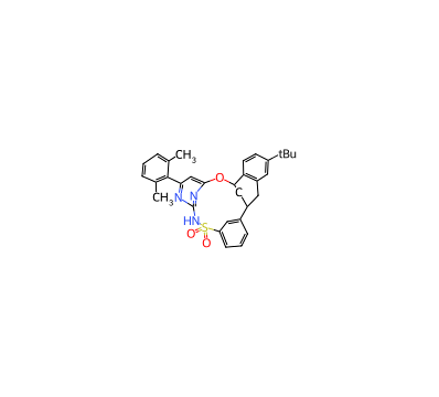 Cc1cccc(C)c1-c1cc2nc(n1)NS(=O)(=O)c1cccc(c1)C1Cc3cc(C(C)(C)C)ccc3C(C1)O2